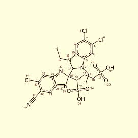 CCN1c2cc(Cl)c(Cl)cc2N(CC)C1C1(C(CCS(=O)(=O)O)S(=O)(=O)O)N=c2[c]c(C#N)c(Cl)cc2=N1